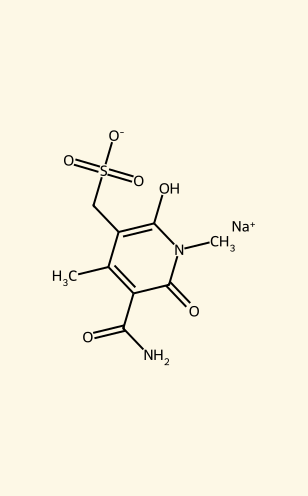 Cc1c(CS(=O)(=O)[O-])c(O)n(C)c(=O)c1C(N)=O.[Na+]